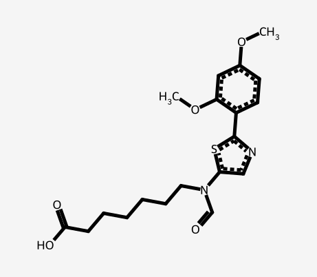 COc1ccc(-c2ncc(N(C=O)CCCCCCC(=O)O)s2)c(OC)c1